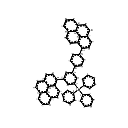 c1ccc([Si](c2ccccc2)(c2ccccc2)c2cc(-c3ccc(-c4ccc5ccc6cccc7ccc4c5c67)cc3)cc(-c3ccc4ccc5cccc6ccc3c4c56)c2)cc1